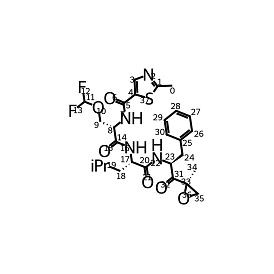 Cc1ncc(C(=O)N[C@@H](COC(F)F)C(=O)N[C@@H](CC(C)C)C(=O)N[C@@H](Cc2ccccc2)C(=O)[C@@]2(C)CO2)s1